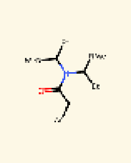 CCC(NC)N(C(=O)CC(C)=O)C(CC)NC